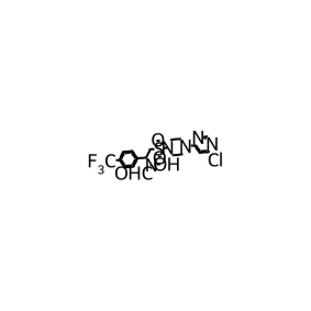 O=CN(O)C(CS(=O)(=O)N1CCN(c2cc(Cl)ncn2)CC1)c1ccc(C(F)(F)F)cc1